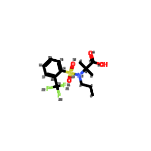 CCCN(C(C)(C)C(=O)O)S(=O)(=O)c1ccccc1C(F)(F)F